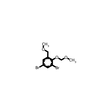 COCOc1c(Br)cc(Br)cc1COC